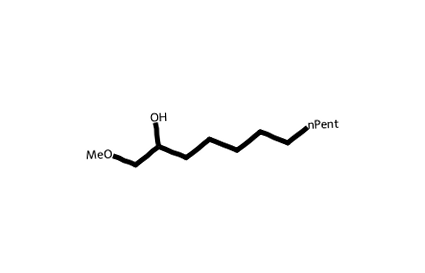 CCCCCCCCCCC(O)COC